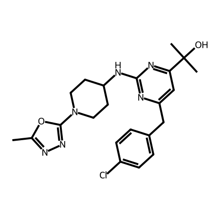 Cc1nnc(N2CCC(Nc3nc(Cc4ccc(Cl)cc4)cc(C(C)(C)O)n3)CC2)o1